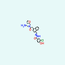 NCCN(CC1CC=CO1)C(=O)Cc1ccc(/C=N/NC(=O)c2ccc(O)c(Cl)c2)c2ccccc12